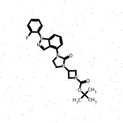 CC(C)(C)OC(=O)N1CC(N2CCN(c3cccc4c3cnn4-c3ccccc3F)C2=O)C1